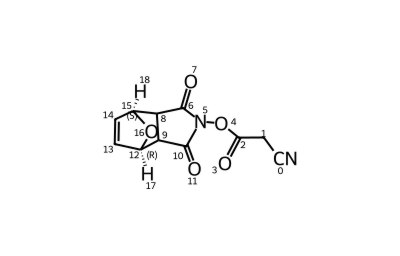 N#CCC(=O)ON1C(=O)C2C(C1=O)[C@H]1C=C[C@@H]2O1